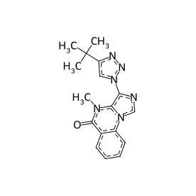 Cn1c(=O)c2ccccc2n2cnc(-n3cc(C(C)(C)C)nn3)c12